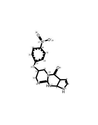 O=C1C2C=CNC2NC2=NCC(Sc3ccc([N+](=O)[O-])cc3)CN12